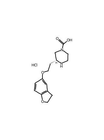 Cl.O=C(O)N1CCN[C@H](CCOc2ccc3c(c2)CCO3)C1